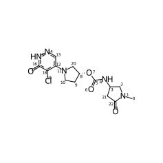 CN1CC(NC(=O)O[C@@H]2CCN(c3cn[nH]c(=O)c3Cl)C2)CC1=O